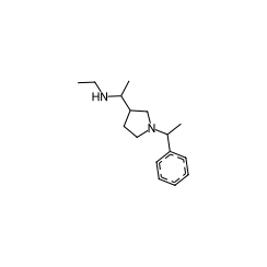 CCNC(C)C1CCN(C(C)c2ccccc2)C1